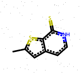 Cc1cc2cc[nH]c(=S)c2s1